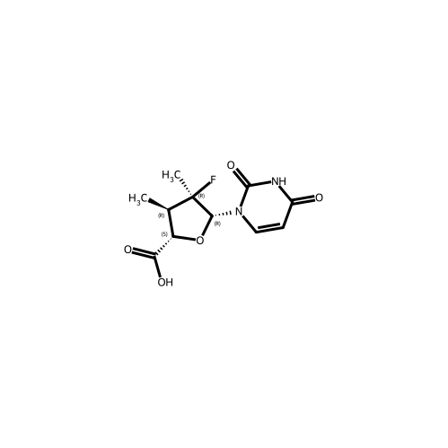 C[C@@H]1[C@@H](C(=O)O)O[C@@H](n2ccc(=O)[nH]c2=O)[C@]1(C)F